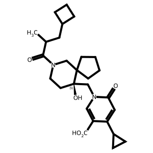 CC(CC1CCC1)C(=O)N1CC[C@@](O)(Cn2cc(C(=O)O)c(C3CC3)cc2=O)C2(CCCC2)C1